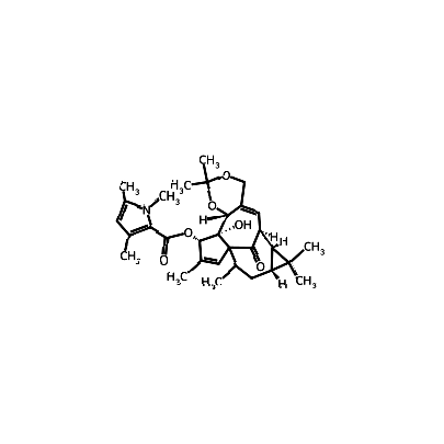 CC1=CC23C(=O)[C@@H](C=C4COC(C)(C)O[C@H]4[C@]2(O)[C@H]1OC(=O)c1c(C)cc(C)n1C)[C@H]1[C@@H](CC3C)C1(C)C